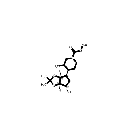 CC1CN(C(=O)OC(C)(C)C)CCC1[C@H]1C[C@H](O)[C@@H]2OC(C)(C)O[C@@H]21